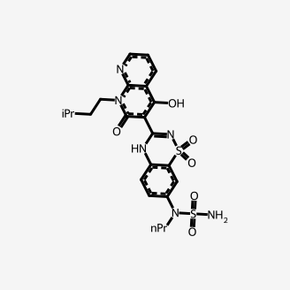 CCCN(c1ccc2c(c1)S(=O)(=O)N=C(c1c(O)c3cccnc3n(CCC(C)C)c1=O)N2)S(N)(=O)=O